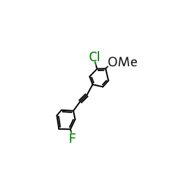 COc1ccc(C#Cc2cccc(F)c2)cc1Cl